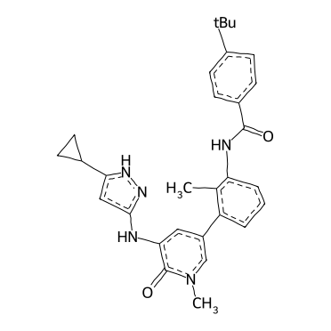 Cc1c(NC(=O)c2ccc(C(C)(C)C)cc2)cccc1-c1cc(Nc2cc(C3CC3)[nH]n2)c(=O)n(C)c1